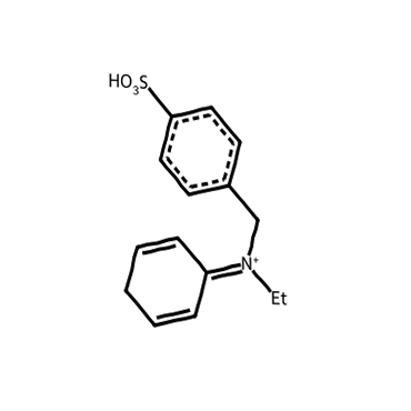 CC[N+](Cc1ccc(S(=O)(=O)O)cc1)=C1C=CCC=C1